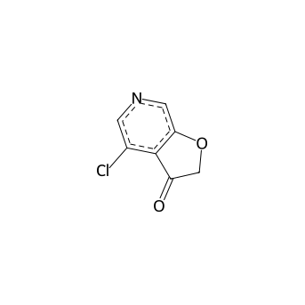 O=C1COc2cncc(Cl)c21